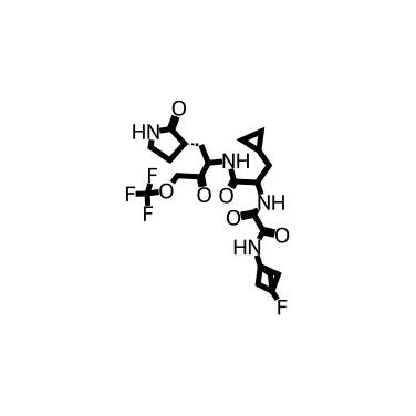 O=C(NC(CC1CC1)C(=O)NC(C[C@@H]1CCNC1=O)C(=O)COC(F)(F)F)C(=O)NC12CC(F)(C1)C2